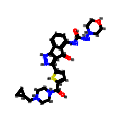 O=C(Nc1cccc2c1C(=O)C1=C(c3ccc(C(=O)N4CCN(CC5CC5)CC4)s3)N=NC12)NN1CCOCC1